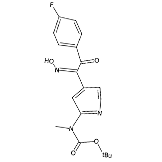 CN(C(=O)OC(C)(C)C)c1cc(C(=NO)C(=O)c2ccc(F)cc2)ccn1